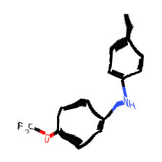 Cc1ccc(Nc2ccc(OC(F)(F)F)cc2)cc1